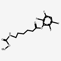 CC(C)(C)OC(=O)NCCCCCC(=O)Oc1c(F)c(F)cc(F)c1F